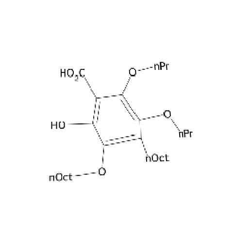 CCCCCCCCOc1c(O)c(C(=O)O)c(OCCC)c(OCCC)c1CCCCCCCC